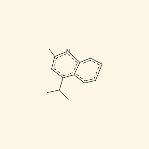 Cc1cc(C(C)C)c2ccccc2n1